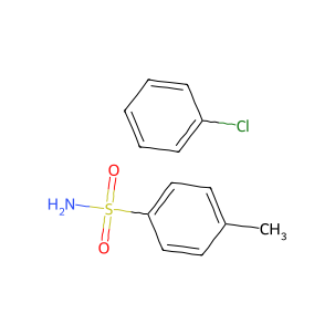 Cc1ccc(S(N)(=O)=O)cc1.Clc1ccccc1